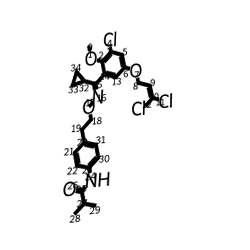 COc1c(Cl)cc(OCC=C(Cl)Cl)cc1C(=NOCCc1ccc(NC(=O)C(C)C)cc1)C1CC1